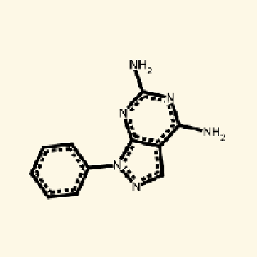 Nc1nc(N)c2cnn(-c3ccccc3)c2n1